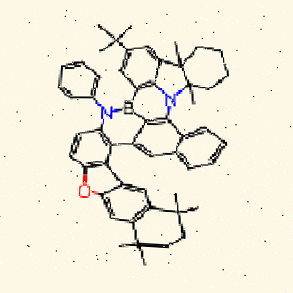 CC(C)(C)c1cc2c3c(c1)C1(C)CCCCC1(C)N3c1c3c(cc4ccccc14)-c1c(ccc4oc5cc6c(cc5c14)C(C)(C)CCC6(C)C)N(c1ccccc1)B23